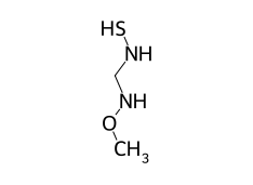 CONCNS